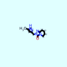 Cc1cc(Cn2nc3n(c2=O)CCCC3)n[nH]1